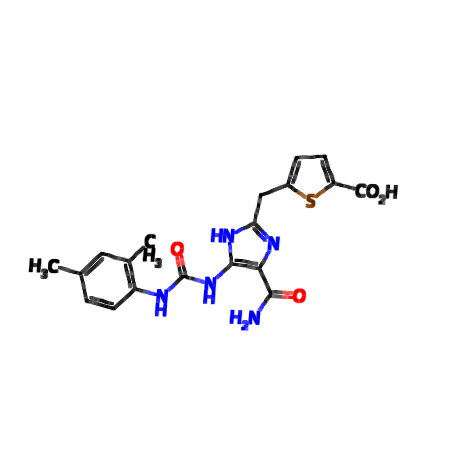 Cc1ccc(NC(=O)Nc2[nH]c(Cc3ccc(C(=O)O)s3)nc2C(N)=O)c(C)c1